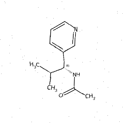 CC(=O)N[C@@H](c1cccnc1)C(C)C